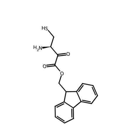 N[C@@H](CS)C(=O)C(=O)OCC1c2ccccc2-c2ccccc21